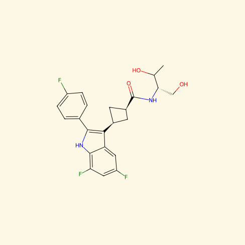 CC(O)[C@H](CO)NC(=O)[C@H]1C[C@@H](c2c(-c3ccc(F)cc3)[nH]c3c(F)cc(F)cc32)C1